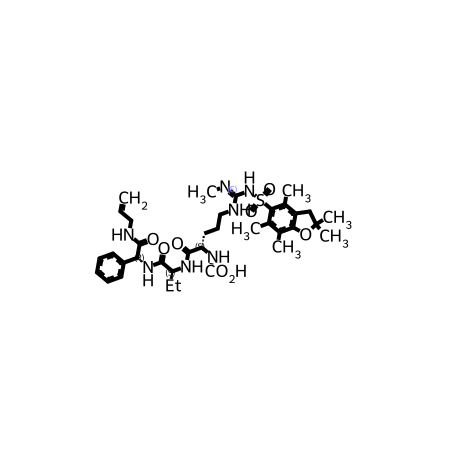 C=CCNC(=O)[C@H](NC(=O)[C@H](CC)NC(=O)[C@H](CCCN/C(=N\C)NS(=O)(=O)c1c(C)c(C)c2c(c1C)CC(C)(C)O2)NC(=O)O)c1ccccc1